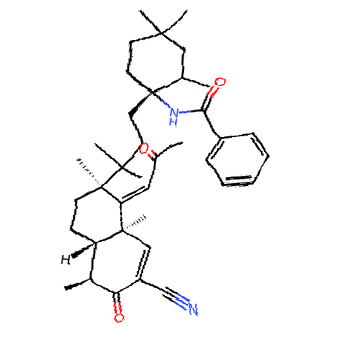 CC(=O)/C=C1/[C@@]2(C)C=C(C#N)C(=O)[C@@H](C)[C@@H]2CC[C@@]1(C)C(C)(C)CC[C@@]1(NC(=O)c2ccccc2)CCC(C)(C)CC1C